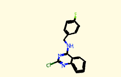 Fc1ccc(CNc2nc(Cl)nc3ccccc23)cc1